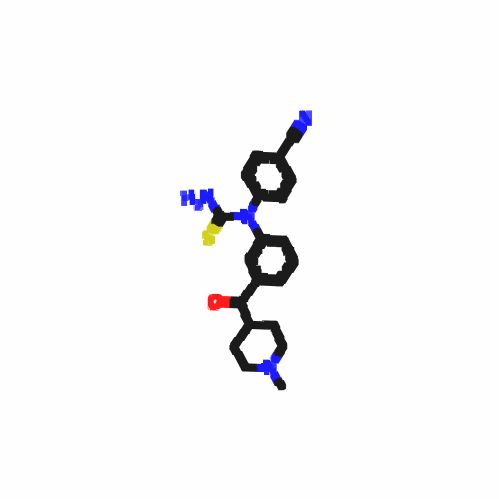 CN1CCC(C(=O)c2cccc(N(C(N)=S)c3ccc(C#N)cc3)c2)CC1